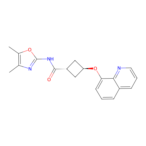 Cc1nc(NC(=O)[C@H]2C[C@H](Oc3cccc4cccnc34)C2)oc1C